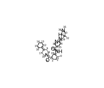 Cc1ccc(C(=O)N2CCC(c3ccccc3)CC2)cc1NC(=O)c1ccc(NCC(C)(C)CN(C)C)nc1